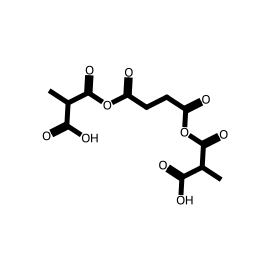 CC(C(=O)O)C(=O)OC(=O)CCC(=O)OC(=O)C(C)C(=O)O